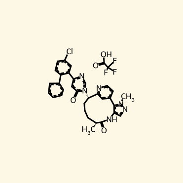 C[C@@H]1CCC[C@H](n2cnc(-c3cc(Cl)ccc3-c3ccccc3)cc2=O)c2cc(ccn2)-c2c(cnn2C)NC1=O.O=C(O)C(F)(F)F